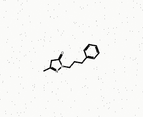 CC1=NN(CCCc2ccccc2)C(=O)C1